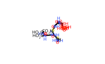 CC(C)(CCC(NCCCC1SC[C@@H]2NC(=O)NC12)C(=O)NCCCCCC(=O)NC(CC(=O)O)C(=O)NC(CC(=O)O)C(=O)O)SSCCC(=O)NCC#Cc1cn(C2CC(O)C(COP(=O)(O)OP(=O)(O)OP(=O)(O)O)O2)c(=O)[nH]c1=O